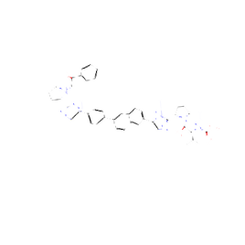 COC(=O)N[C@H](C(=O)N1CCC[C@H]1c1ncc(-c2ccc3cc(-c4ccc(-c5cnc([C@@H]6CCCN6CC(=O)c6ccccc6)[nH]5)cc4)ccc3c2)[nH]1)C(C)C